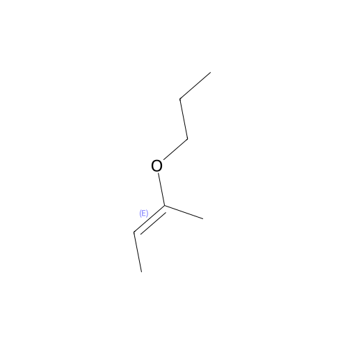 C/C=C(\C)OCCC